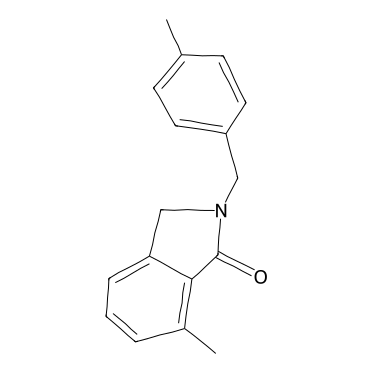 Cc1ccc(CN2Cc3cccc(C)c3C2=O)cc1